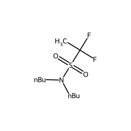 CCCCN(CCCC)S(=O)(=O)C(C)(F)F